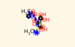 CCn1nnnc1SCC1(C(=O)O)CS[C@@H]2C(N(C(=O)CNC(=O)n3c(=O)n(C)c4ccccc43)c3cc(O)cc(O)c3)C(=O)N2C1